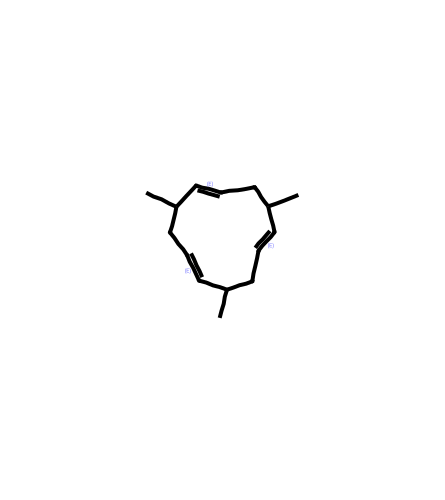 CC1/C=C/CC(C)/C=C/CC(C)/C=C/C1